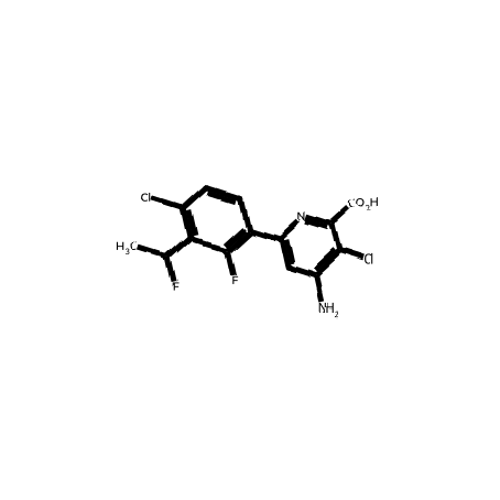 CC(F)c1c(Cl)ccc(-c2cc(N)c(Cl)c(C(=O)O)n2)c1F